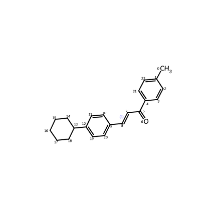 Cc1ccc(C(=O)/C=C/c2ccc(C3CCCCC3)cc2)cc1